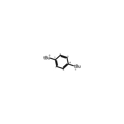 CC(C)(C)c1ccc(C(C)(C)C)cc1